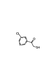 O=C(CS)c1cccc(Cl)c1